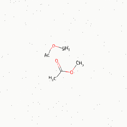 CC(=O)O[SiH3].COC(C)=O